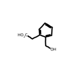 O=C(O)Cc1ccccc1CO